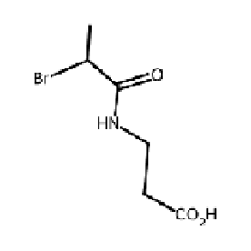 CC(Br)C(=O)NCCC(=O)O